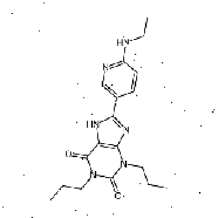 CCCn1c(=O)c2[nH]c(-c3ccc(NCC)nc3)nc2n(CCC)c1=O